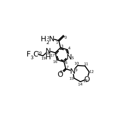 C=C(N)c1cnc(C(=O)N2CCCOCC2)cc1NCC(F)(F)F